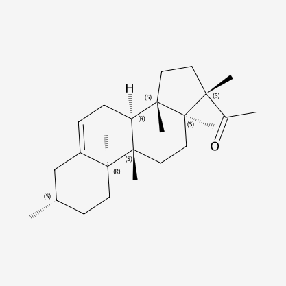 CC(=O)[C@@]1(C)CC[C@@]2(C)[C@@H]3CC=C4C[C@@H](C)CC[C@]4(C)[C@@]3(C)CC[C@@]21C